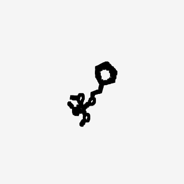 CO[Si](OC)(OC)OCCc1ccccc1